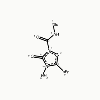 CCCc1nn(C(=O)NC(C)(C)C)c(=O)n1N